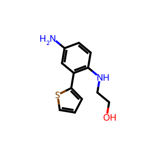 Nc1ccc(NCCO)c(-c2cccs2)c1